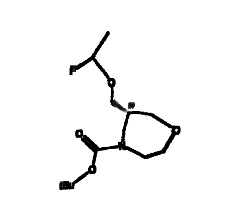 CC(F)OC[C@@H]1COCCN1C(=O)OC(C)(C)C